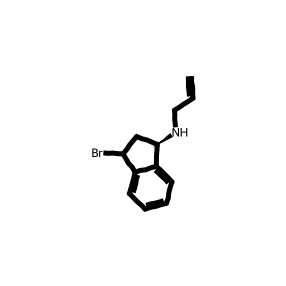 C=CCN[C@@H]1CC(Br)c2ccccc21